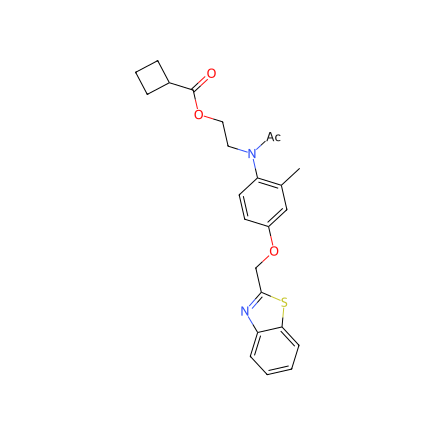 CC(=O)N(CCOC(=O)C1CCC1)c1ccc(OCc2nc3ccccc3s2)cc1C